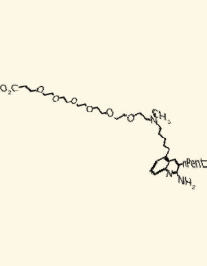 CCCCCc1cc2c(CCCCCN(C)CCOCCOCCOCCOCCOCCOCCC(=O)O)cccc2nc1N